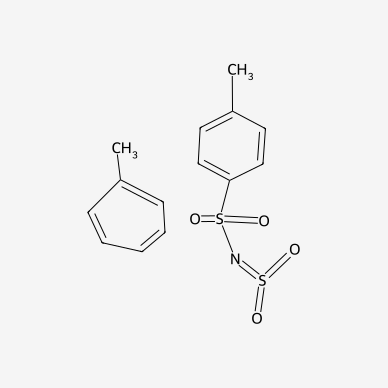 Cc1ccc(S(=O)(=O)N=S(=O)=O)cc1.Cc1ccccc1